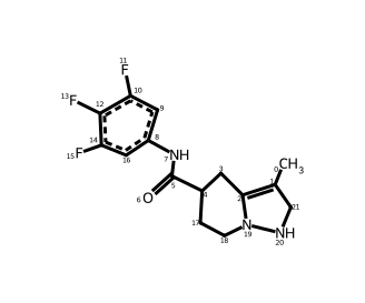 CC1=C2CC(C(=O)Nc3cc(F)c(F)c(F)c3)CCN2NC1